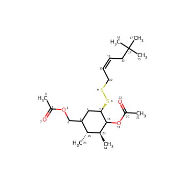 CC(=O)OCC1C[C@@H](SSC/C=C\CC(C)(C)C)C(OC(C)=O)[C@@H](C)[C@@H]1C